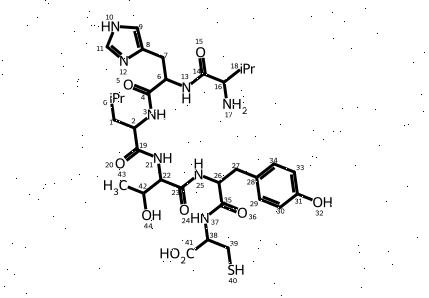 CC(C)CC(NC(=O)C(Cc1c[nH]cn1)NC(=O)C(N)C(C)C)C(=O)NC(C(=O)NC(Cc1ccc(O)cc1)C(=O)NC(CS)C(=O)O)C(C)O